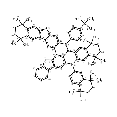 CC(C)(C)c1ccc(N2B3c4cc5c(cc4N(c4ccc6c(c4)C(C)(C)CCC6(C)C)c4cc6c(oc7ccccc76)c(c43)-c3cc4c(cc32)sc2cc3c(cc24)C(C)(C)CCC3(C)C)C(C)(C)CCC5(C)C)cc1